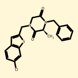 C[C@H]1C(=O)N(Cc2cc3ccc(Cl)cc3s2)CC(=O)N1Cc1cc[c]cc1